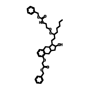 CCCCCC(CCC1C(O)CC2Cc3c(cccc3OCC(=O)OCc3ccccc3)CC21)OOCCNC(=O)OCc1ccccc1